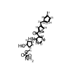 NS(=O)(=O)OC[C@H]1C[C@@H](Nc2ncncc2C(=O)c2cc(Cc3cccc(I)c3)cs2)C[C@@H]1O